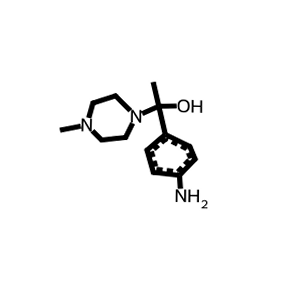 CN1CCN(C(C)(O)c2ccc(N)cc2)CC1